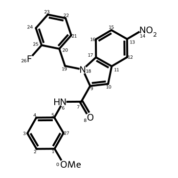 COc1cccc(NC(=O)c2cc3cc([N+](=O)[O-])ccc3n2Cc2ccccc2F)c1